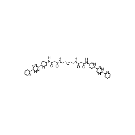 O=C(CC(=O)Nc1ccc(-c2nnc(-c3ccccn3)nn2)nc1)NCCOCCNC(=O)CC(=O)Nc1ccc(-c2nnc(-c3ccccn3)nn2)nc1